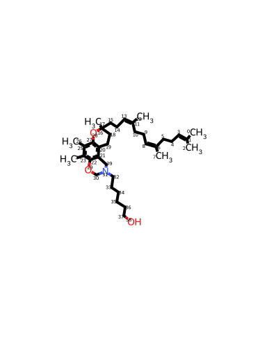 CC(C)=CCCC(C)=CCCC(C)=CCCC1(C)CCc2c3c(c(C)c(C)c2O1)OCN(CCCCCCO)C3